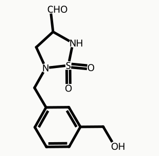 O=CC1CN(Cc2cccc(CO)c2)S(=O)(=O)N1